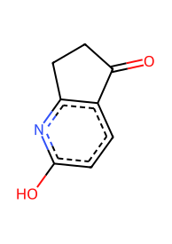 O=C1CCc2nc(O)ccc21